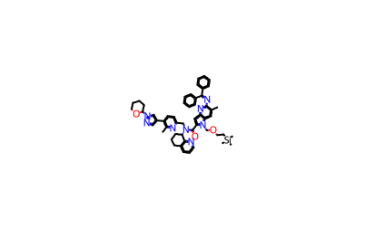 Cc1cc2c(cc(C(=O)N(Cc3ccc(-c4cnn(C5CCCCO5)c4)c(C)n3)C3CCCc4cccnc43)n2COCC[Si](C)(C)C)nc1N=C(c1ccccc1)c1ccccc1